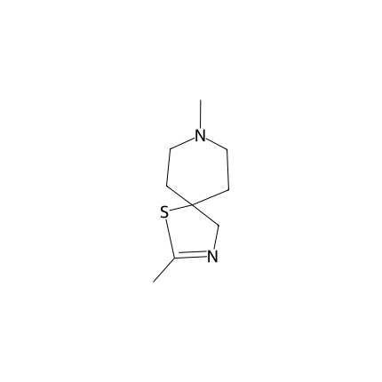 CC1=NCC2(CCN(C)CC2)S1